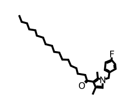 CCCCCCCCCCCCCCCCCC(=O)c1c(C)cn(Cc2ccc(F)cc2)c1C